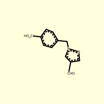 O=Cc1cnn(Cc2ccc(C(=O)O)cc2)c1